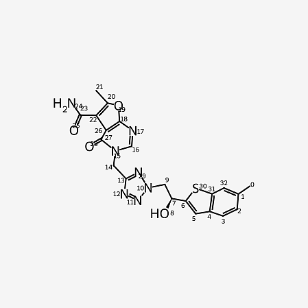 Cc1ccc2cc([C@@H](O)Cn3nnc(Cn4cnc5oc(C)c(C(N)=O)c5c4=O)n3)sc2c1